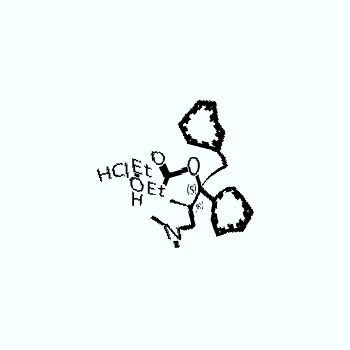 CCC(=O)O[C@](Cc1ccccc1)(c1ccccc1)[C@H](C)CN(C)C.CCO.Cl